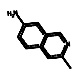 Cc1cc2ccc(N)cc2cn1